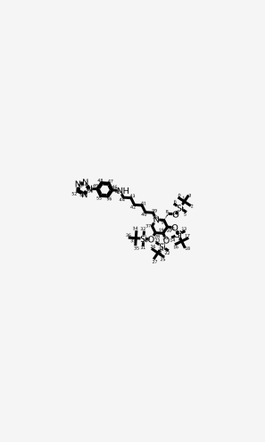 CC(C)(C)[Si](C)(C)OC[C@@H]1C(O[Si](C)(C)C(C)(C)C)C(O[Si](C)(C)C(C)(C)C)C(O[Si](C)(C)C(C)(C)C)CN1CCCCCCNc1ccc(-n2ncnn2)cc1